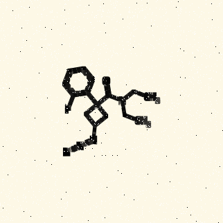 CCN(CC)C(=O)C1(c2ccccc2F)CC(N=[N+]=[N-])C1